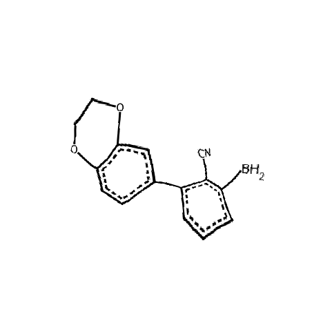 Bc1cccc(-c2ccc3c(c2)OCCO3)c1C#N